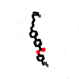 CCCCCCC1CC=C(c2ccc(C(=O)Oc3ccc(C)cc3)cc2)CC1